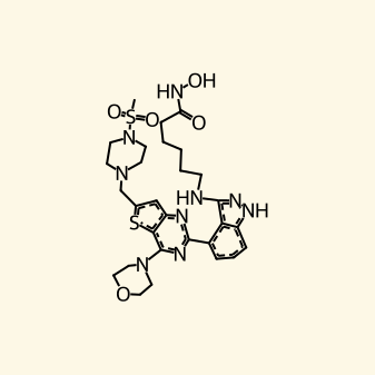 CS(=O)(=O)N1CCN(Cc2cc3nc(-c4cccc5[nH]nc(NCCCCCC(=O)NO)c45)nc(N4CCOCC4)c3s2)CC1